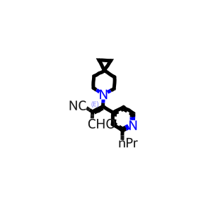 CCCc1cc(/C(=C(/C#N)C=O)N2CCC3(CC2)CC3)ccn1